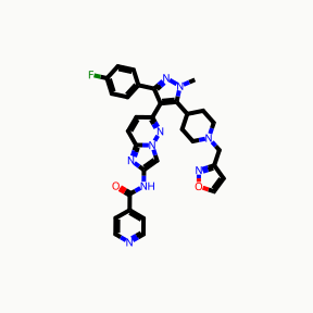 Cn1nc(-c2ccc(F)cc2)c(-c2ccc3nc(NC(=O)c4ccncc4)cn3n2)c1C1CCN(Cc2ccon2)CC1